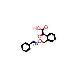 O=C(O)C(=O)c1ccccc1CO/N=C/c1ccccc1